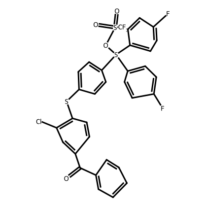 O=C(c1ccccc1)c1ccc(Sc2ccc(S(OS(=O)(=O)C(F)(F)F)(c3ccc(F)cc3)c3ccc(F)cc3)cc2)c(Cl)c1